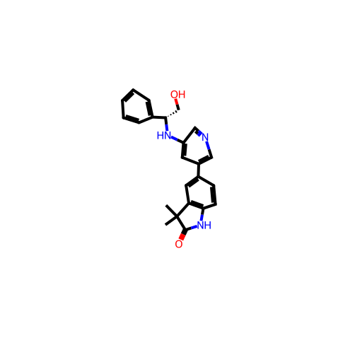 CC1(C)C(=O)Nc2ccc(-c3cncc(N[C@@H](CO)c4ccccc4)c3)cc21